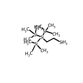 C[Si](C)(C)[Si](CC[SiH3])([Si](C)(C)C)[Si](C)(C)C